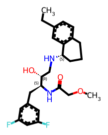 CCc1ccc2c(c1)[C@@H](NC[C@@H](O)[C@H](Cc1cc(F)cc(F)c1)NC(=O)COC)CCC2